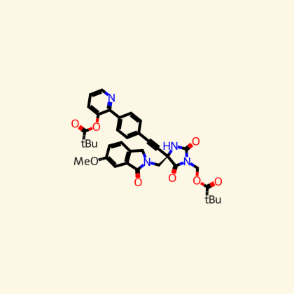 COc1ccc2c(c1)C(=O)N(C[C@@]1(C#Cc3ccc(-c4ncccc4OC(=O)C(C)(C)C)cc3)NC(=O)N(COC(=O)C(C)(C)C)C1=O)C2